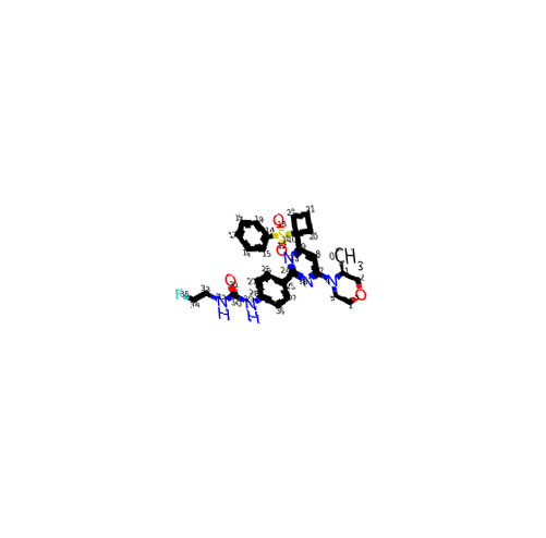 C[C@H]1COCCN1c1cc(C2(S(=O)(=O)c3ccccc3)CCC2)nc(-c2ccc(NC(=O)NCCF)cc2)n1